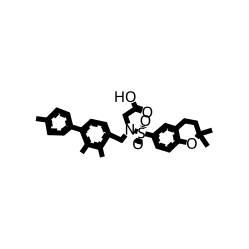 Cc1ccc(-c2ccc(CN(CC(=O)O)S(=O)(=O)c3ccc4c(c3)CCC(C)(C)O4)c(C)c2C)cc1